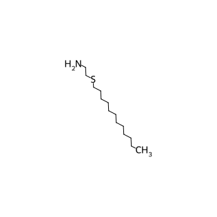 CCCCCCCCCCCCSCCN